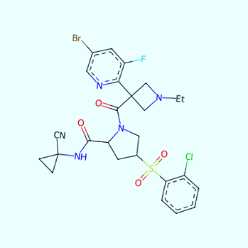 CCN1CC(C(=O)N2CC(S(=O)(=O)c3ccccc3Cl)CC2C(=O)NC2(C#N)CC2)(c2ncc(Br)cc2F)C1